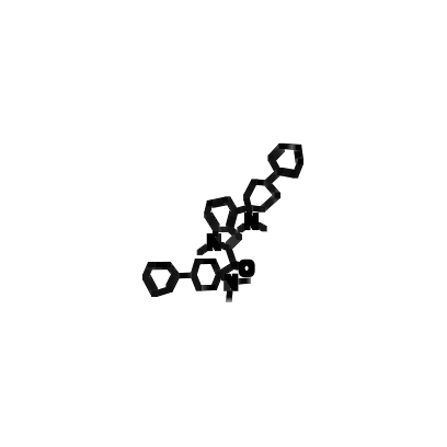 CN(C)C1(C(=O)c2cc3c(C4(N(C)C)CCC(c5ccccc5)CC4)cccc3n2C)CCC(c2ccccc2)CC1